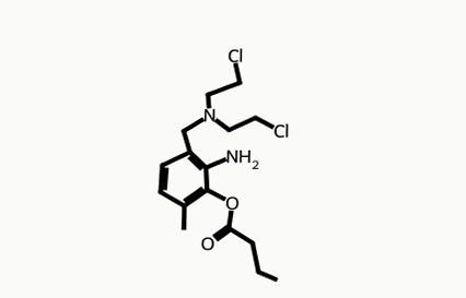 CCCC(=O)Oc1c(C)ccc(CN(CCCl)CCCl)c1N